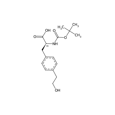 CC(C)(C)OC(=O)N[C@@H](Cc1ccc(CCO)cc1)C(=O)O